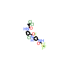 O=C(CSC(F)(F)F)Nc1ccc(NC(=O)c2cc(NC(=O)C3CC3(Cl)Cl)ccc2Cl)c(F)c1